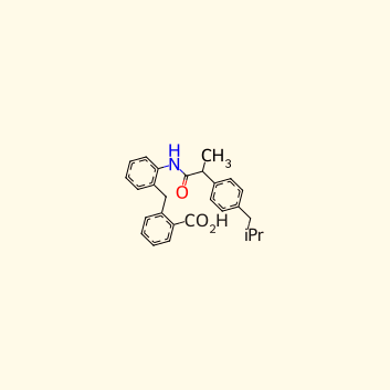 CC(C)Cc1ccc(C(C)C(=O)Nc2ccccc2Cc2ccccc2C(=O)O)cc1